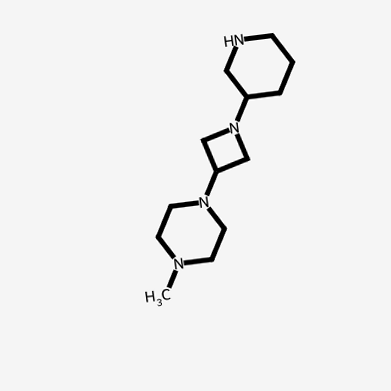 CN1CCN(C2CN(C3CCCNC3)C2)CC1